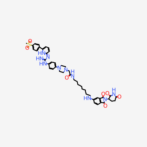 CS(=O)(=O)c1ccc(-c2ccc/c(=N/C(=N)Nc3ccc(N4CCN(CC(=O)NCCCCCCCCNc5ccc6c(c5)C(=O)N(C5CCC(=O)NC5=O)C6=O)CC4)cc3)[nH]2)cc1